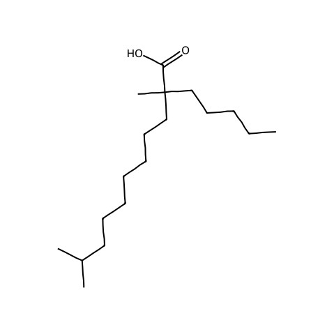 CCCCCC(C)(CCCCCCCC(C)C)C(=O)O